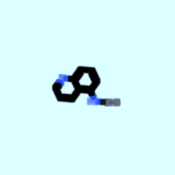 O=CNc1cccc2ncccc12